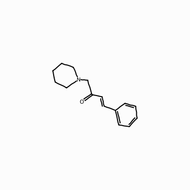 O=C(C=Cc1ccccc1)CN1CCCCC1